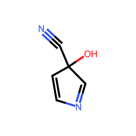 N#CC1(O)C=CN=C1